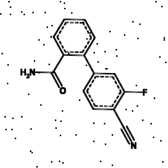 N#Cc1ccc(-c2ccc[c]c2C(N)=O)cc1F